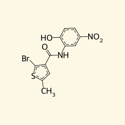 Cc1cc(C(=O)Nc2cc([N+](=O)[O-])ccc2O)c(Br)s1